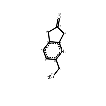 CC(C)(C)Cc1ccc2c(n1)CC(=O)C2